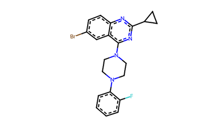 Fc1ccccc1N1CCN(c2nc(C3CC3)nc3ccc(Br)cc23)CC1